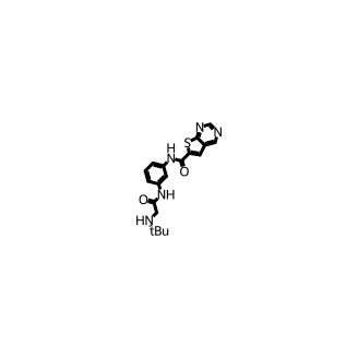 CC(C)(C)NCC(=O)Nc1cccc(NC(=O)c2cc3cncnc3s2)c1